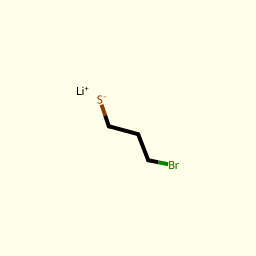 [Li+].[S-]CCCBr